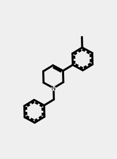 Cc1cccc(C2=CCCN(Cc3ccccc3)C2)c1